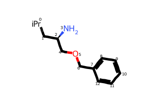 CC(C)C[C@@H](N)COCc1ccccc1